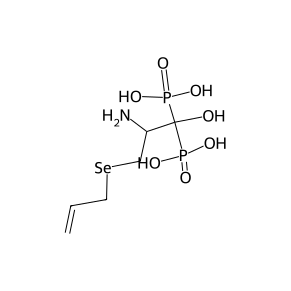 C=CC[Se]CC(N)C(O)(P(=O)(O)O)P(=O)(O)O